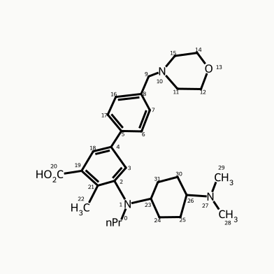 CCCN(c1cc(-c2ccc(CN3CCOCC3)cc2)cc(C(=O)O)c1C)C1CCC(N(C)C)CC1